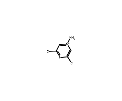 N[n+]1cc(Cl)nc(Cl)c1